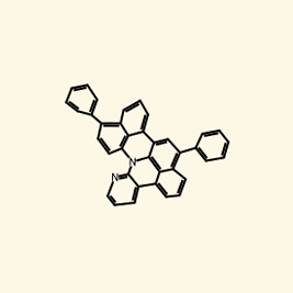 c1ccc(-c2ccc3c4c(cccc24)-c2cc(-c4ccccc4)c4cccc5c4c2N3c2ncccc2-5)cc1